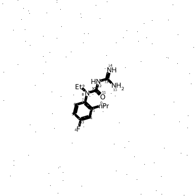 CCCc1cc(F)ccc1N(CC)C(=O)NC(=N)N